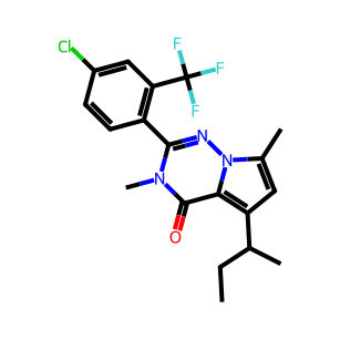 CCC(C)c1cc(C)n2nc(-c3ccc(Cl)cc3C(F)(F)F)n(C)c(=O)c12